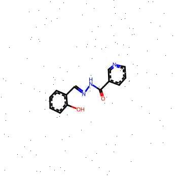 O=C(NN=Cc1ccccc1O)c1cccnc1